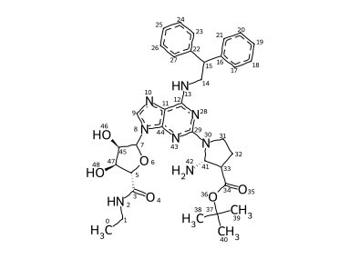 CCNC(=O)[C@H]1OC(n2cnc3c(NCC(c4ccccc4)c4ccccc4)nc(N4CCC(C(=O)OC(C)(C)C)[C@@H]4N)nc32)[C@H](O)[C@@H]1O